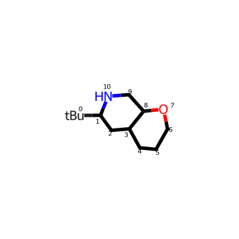 CC(C)(C)C1CC2CCCOC2CN1